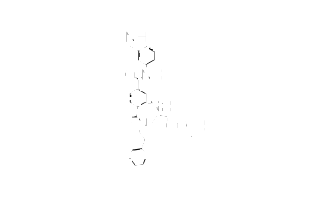 NCc1cccc(NC(=O)c2ccc3c(c2)NC(CC(=O)O)CN(CCc2ccccc2)C3=O)c1